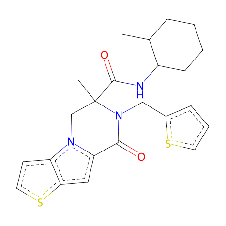 CC1CCCCC1NC(=O)C1(C)Cn2c(cc3sccc32)C(=O)N1Cc1cccs1